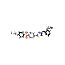 COc1ccccc1Cc1csc(N2CCN(S(=O)(=O)c3ccc(OC(F)(F)F)cc3)CC2)n1